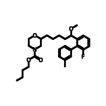 CCCCOC(=O)N1CCOC(CCCCC(OC)c2cccc(F)c2-c2cccc(C)c2)C1